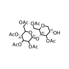 CC(=O)OCC1O[C@@H](O[C@@H]2C(COC(C)=O)OC[C@H](O)C2OC(C)=O)C(OC(C)=O)C(OC(C)=O)[C@@H]1OC(C)=O